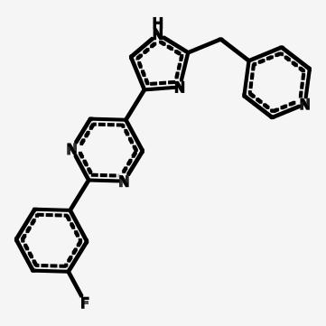 Fc1cccc(-c2ncc(-c3c[nH]c(Cc4ccncc4)n3)cn2)c1